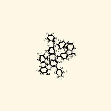 CC1(C)c2ccccc2-c2cc(N3c4cc(N(c5ccccc5)c5ccccc5)ccc4B4c5ccccc5N(c5ccccc5)c5cc(C6CCCCC6)cc3c54)ccc21